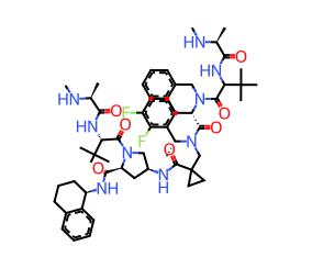 CN[C@@H](C)C(=O)NC(C(=O)N1Cc2ccccc2C[C@H]1C(=O)N(CC1(C(=O)N[C@H]2C[C@@H](C(=O)N[C@@H]3CCCc4ccccc43)N(C(=O)[C@@H](NC(=O)[C@H](C)NC)C(C)(C)C)C2)CC1)[C@H](C)c1cccc(F)c1F)C(C)(C)C